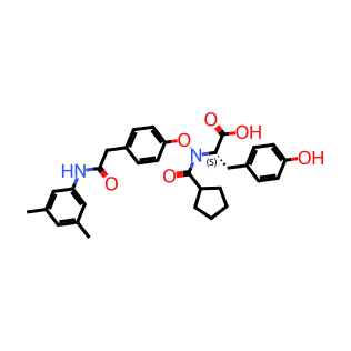 Cc1cc(C)cc(NC(=O)Cc2ccc(ON(C(=O)C3CCCC3)[C@@H](Cc3ccc(O)cc3)C(=O)O)cc2)c1